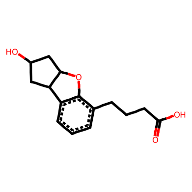 O=C(O)CCCc1cccc2c1OC1CC(O)CC21